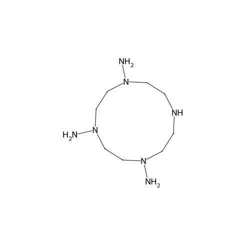 NN1CCNCCN(N)CCN(N)CC1